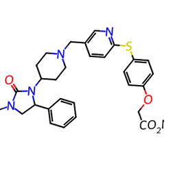 CC(=O)N1CC(c2ccccc2)N(C2CCN(Cc3ccc(Sc4ccc(OCC(=O)O)cc4)nc3)CC2)C1=O